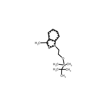 Cc1nn(CCO[Si](C)(C)C(C)(C)C)c2ccccc12